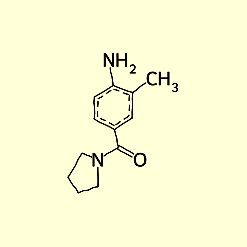 Cc1cc(C(=O)N2CCCC2)ccc1N